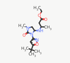 CCOC(=O)CC(C)NC1CN(C)C(=O)N1c1cc(C(C)(C)C)on1